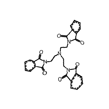 O=C1c2ccccc2C(=O)N1CCN(CCN1C(=O)c2ccccc2C1=O)CCN1C(=O)c2ccccc2C1=O